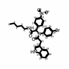 CCCCCNC(=O)C(c1ccc([N+](=O)[O-])cc1)N(C(=O)Cc1c[nH]c2ccccc12)c1ccc(Br)cc1